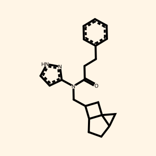 O=C(CCc1ccccc1)N(CC1CC23CC2CCC13)c1cc[nH]n1